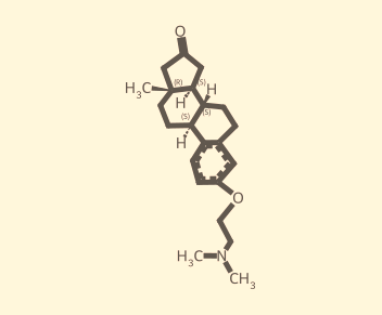 CN(C)CCOc1ccc2c(c1)CC[C@@H]1[C@@H]2CC[C@]2(C)CC(=O)C[C@@H]12